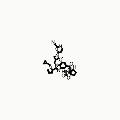 COc1cc(C(=O)N2C[C@H]3CC[C@@H]2[C@@H]3NC(=O)O)cc2nc(-c3cccn3CC3CC3)n(CC3CN(c4ccnc(C#N)n4)C3)c12